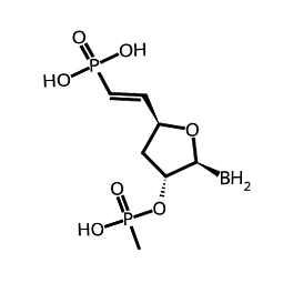 B[C@@H]1O[C@H](/C=C/P(=O)(O)O)C[C@H]1OP(C)(=O)O